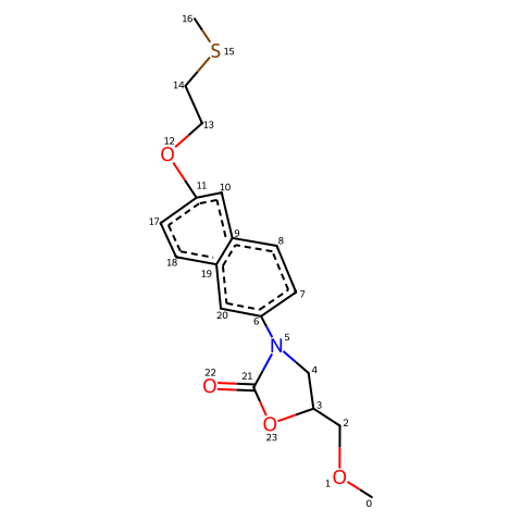 COCC1CN(c2ccc3cc(OCCSC)ccc3c2)C(=O)O1